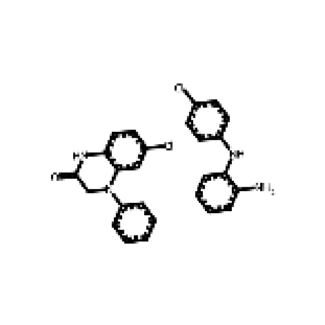 Nc1ccccc1Nc1ccc(Cl)cc1.O=C1CN(c2ccccc2)c2cc(Cl)ccc2N1